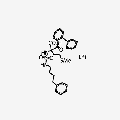 CSCCC(NS(=O)(=O)NCCCCc1ccccc1)(C(=O)O)C(=O)c1ccccc1-c1ccccc1.[LiH]